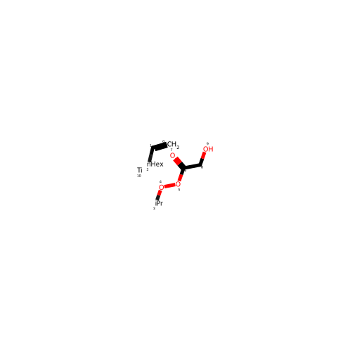 C=CCCCCCC.CC(C)OOC(=O)CO.[Ti]